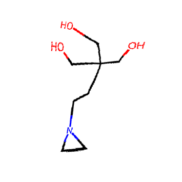 OCC(CO)(CO)CCN1CC1